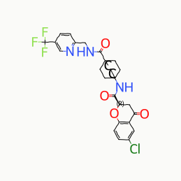 O=C1C[C@H](C(=O)NC23CCC(C(=O)NCc4ccc(C(F)(F)F)cn4)(CC2)CC3)Oc2ccc(Cl)cc21